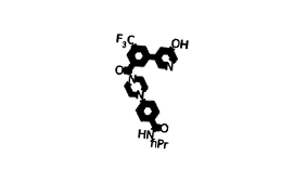 CCCNC(=O)c1ccc(N2CCN(C(=O)c3cc(-c4cncc(O)c4)cc(C(F)(F)F)c3)CC2)cc1